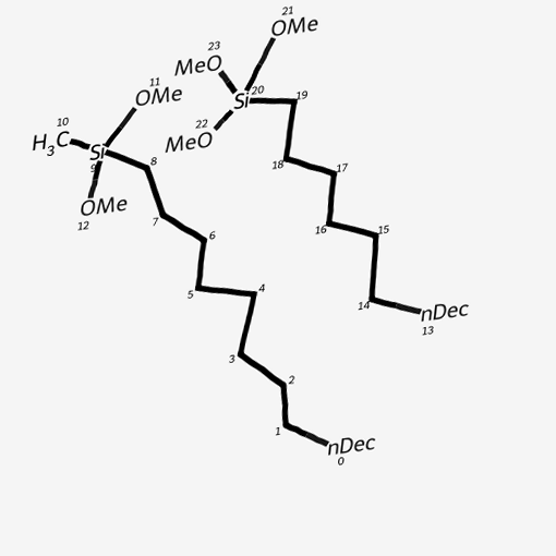 CCCCCCCCCCCCCCCCCC[Si](C)(OC)OC.CCCCCCCCCCCCCCCC[Si](OC)(OC)OC